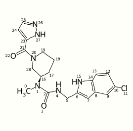 CN(C(=O)NCc1cc2cc(Cl)ccc2[nH]1)[C@@H]1CCCN(C(=O)c2ccn[nH]2)C1